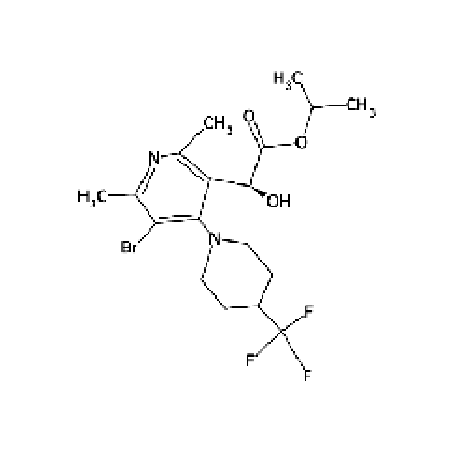 Cc1nc(C)c([C@H](O)C(=O)OC(C)C)c(N2CCC(C(F)(F)F)CC2)c1Br